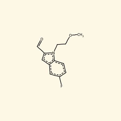 COCCn1c(C=O)cc2cc(F)ccc21